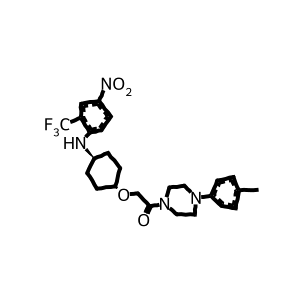 Cc1ccc(N2CCN(C(=O)CO[C@H]3CC[C@H](Nc4ccc([N+](=O)[O-])cc4C(F)(F)F)CC3)CC2)cc1